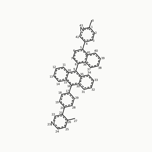 Cc1ccc(-c2ccc(-c3c4ccccc4c(-c4ccc(-c5cnccc5C)cc4)c4ccccc34)c3ccccc23)cn1